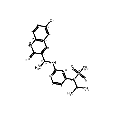 CC(C)N(c1ccnc(N[C@@H](C)c2cc3cc(Cl)ccc3[nH]c2=O)n1)S(C)(=O)=O